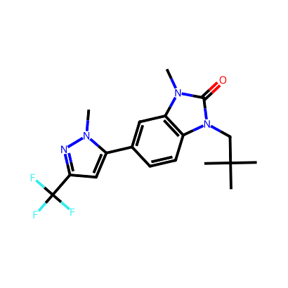 Cn1nc(C(F)(F)F)cc1-c1ccc2c(c1)n(C)c(=O)n2CC(C)(C)C